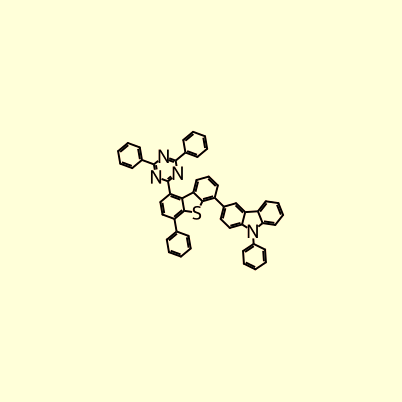 c1ccc(-c2nc(-c3ccccc3)nc(-c3ccc(-c4ccccc4)c4sc5c(-c6ccc7c(c6)c6ccccc6n7-c6ccccc6)cccc5c34)n2)cc1